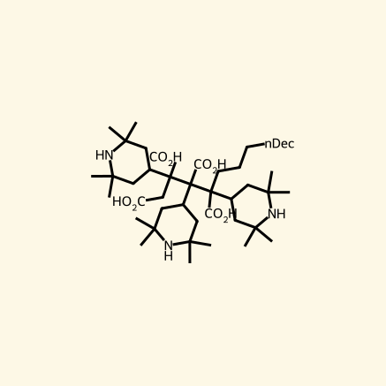 CCCCCCCCCCCCCC(C(=O)O)(C1CC(C)(C)NC(C)(C)C1)C(C(=O)O)(C1CC(C)(C)NC(C)(C)C1)C(CC(=O)O)(C(=O)O)C1CC(C)(C)NC(C)(C)C1